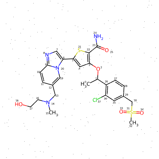 CC(Oc1cc(-c2cnc3ccc(CN(C)CCO)cn23)sc1C(N)=O)c1ccc(CS(C)(=O)=O)cc1Cl